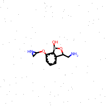 NCC1OB(O)c2c(OC3CN3)cccc21